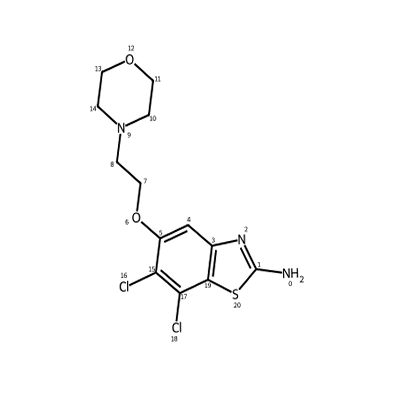 Nc1nc2cc(OCCN3CCOCC3)c(Cl)c(Cl)c2s1